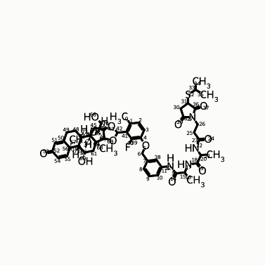 Cc1ccc(OCc2cccc(NC(=O)C(C)NC(=O)C(C)NC(=O)CCN3C(=O)CC(SC(C)C)C3=O)c2)c(F)c1C1O[C@@H]2C[C@H]3[C@@H]4CCC5=CC(=O)C=C[C@]5(C)[C@H]4[C@@H](O)C[C@]3(C)[C@]2(C(=O)CO)O1